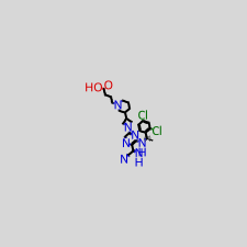 C[C@@H](Nc1nc(N2CC(C3CCCN(CCCC(=O)O)C3)C2)cnc1C(=N)C#N)c1ccc(Cl)cc1Cl